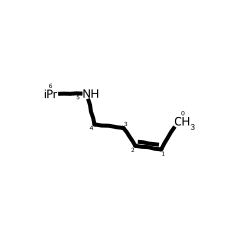 C/C=C\CCNC(C)C